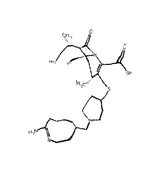 C[C@@H](O)[C@H]1C(=O)N2C(C(=O)O)=C(SC3CCN(CC4CCC(N)=NC4)CC3)[C@H](C)[C@H]12